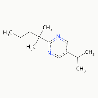 CCCC(C)(C)c1ncc(C(C)C)cn1